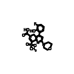 CS(=O)(=O)C1=CN(C(=O)O)Cc2c(-c3cccc(F)c3O)cc(N3CCOCC3)nc21